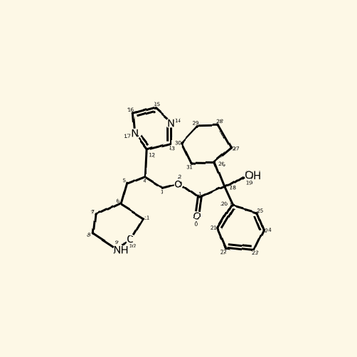 O=C(OCC(CC1CCNCC1)c1cnccn1)C(O)(c1ccccc1)C1CCCCC1